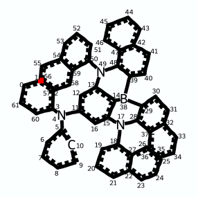 c1ccc(N(c2ccccc2)c2cc3c4c(c2)N(c2cccc5ccccc25)c2c(ccc5ccccc25)B4c2ccc4ccccc4c2N3c2cccc3ccccc23)cc1